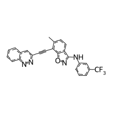 Cc1ccc2c(Nc3cccc(C(F)(F)F)c3)noc2c1C#Cc1cc2ccccc2nn1